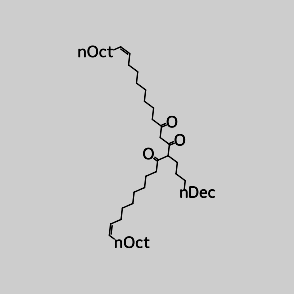 CCCCCCCC/C=C\CCCCCCCC(=O)CC(=O)C(CCCCCCCCCCCCC)C(=O)CCCCCCC/C=C\CCCCCCCC